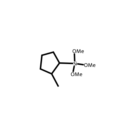 CO[Si](OC)(OC)C1CCCC1C